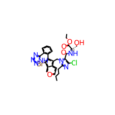 CCCCc1nc(Cl)c(C(=O)N[C@@H](CO)C(=O)OCC)n1Cc1c2ccocc-2c(Br)c1-c1ccccc1-c1nnn[nH]1